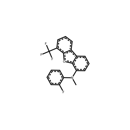 CN(c1ccccc1F)c1cccc2c1oc1c(C(F)(F)F)cccc12